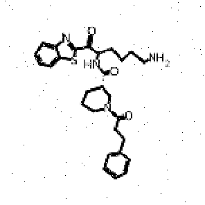 NCCCCC(NC(=O)[C@H]1CCCN(C(=O)CCc2ccccc2)C1)C(=O)c1nc2ccccc2s1